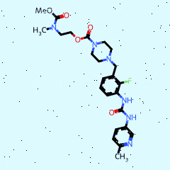 COC(=O)N(C)CCOC(=O)N1CCN(Cc2cccc(NC(=O)Nc3ccc(C)nc3)c2F)CC1